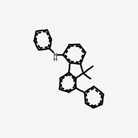 CC1(C)c2cccc(Nc3ccccc3)c2-c2cccc(-c3ccccc3)c21